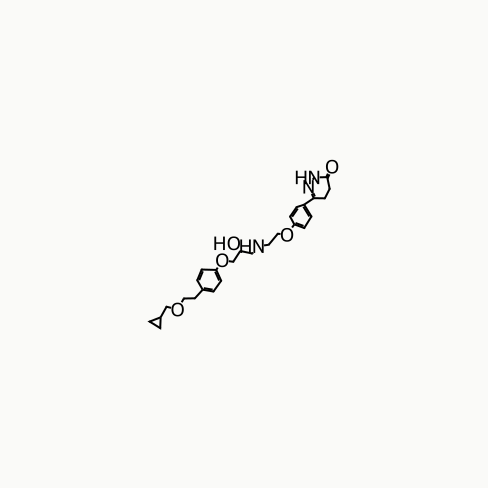 O=C1CCC(c2ccc(OCCNCC(O)COc3ccc(CCOCC4CC4)cc3)cc2)=NN1